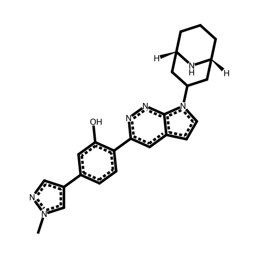 Cn1cc(-c2ccc(-c3cc4ccn(C5C[C@H]6CCC[C@@H](C5)N6)c4nn3)c(O)c2)cn1